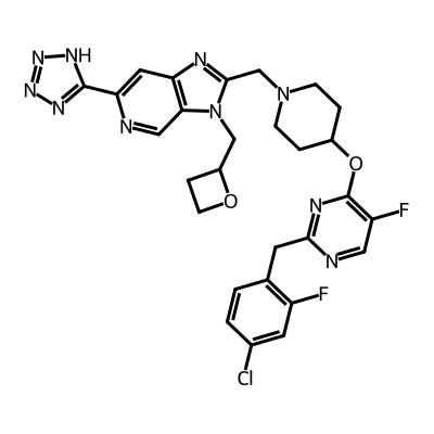 Fc1cc(Cl)ccc1Cc1ncc(F)c(OC2CCN(Cc3nc4cc(-c5nnn[nH]5)ncc4n3CC3CCO3)CC2)n1